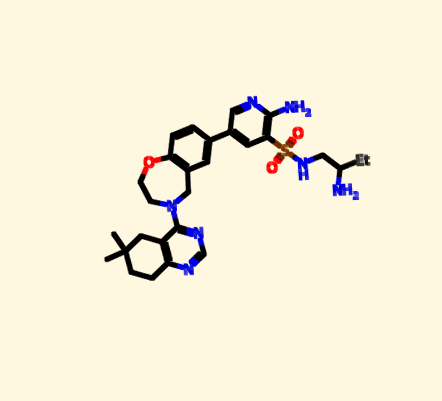 CCC(N)CNS(=O)(=O)c1cc(-c2ccc3c(c2)CN(c2ncnc4c2CC(C)(C)CC4)CCO3)cnc1N